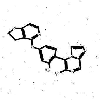 Cc1cc(Oc2nccc3c2CCO3)ccc1-c1c(C)ncc2nccn12